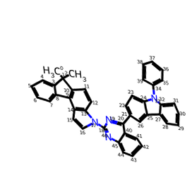 CC1(C)c2ccccc2-c2c1ccc1c2ccn1-c1nc(-c2ccc3c(c2)c2ccccc2n3-c2ccccc2)c2ccccc2n1